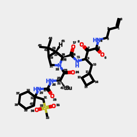 C=CCCNC(=O)C(=O)C(CC1CCC1)NC(=O)[C@@H]1[C@@H]2C(CN1C(=O)[C@@H](NC(=O)NC1(CS(C)(=O)=O)CCCCC1)C(C)(C)C)C2(C)C